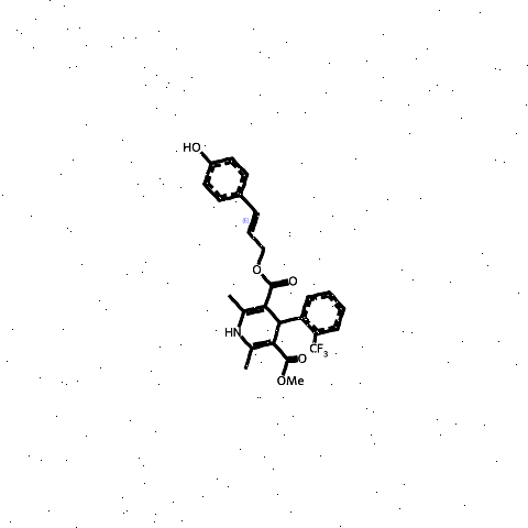 COC(=O)C1=C(C)NC(C)=C(C(=O)OC/C=C/c2ccc(O)cc2)C1c1ccccc1C(F)(F)F